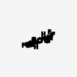 O=C(N[C@H]1CC[C@@H](Nc2cccc3nc(C(F)F)cn23)CC1)c1cc2cc(F)ccn2n1